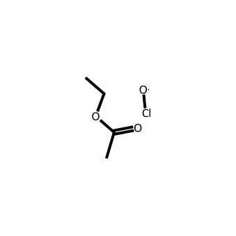 CCOC(C)=O.[O]Cl